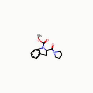 CC(C)(C)OC(=O)N1c2ccccc2CC1C(=O)N1CCCC1